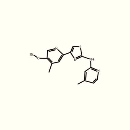 CCOc1cnc(-c2csc(Nc3cc(C)ccn3)n2)cc1C